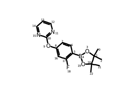 CC1(C)OB(c2ccc(Oc3ncccn3)cc2F)OC1(C)C